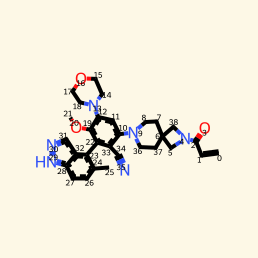 C=CC(=O)N1CC2(CCN(c3cc(N4CCOCC4)c(OC)c(-c4c(C)ccc5[nH]ncc45)c3C#N)CC2)C1